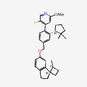 COc1cc(-c2ccc(COc3ccc4c(c3)[C@@]3(CC4)CC[C@@H]3C)cc2[C@@H]2CCCC2(C)C)c(F)cn1